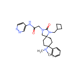 CN(C)[C@]1(c2ccccc2)CC[C@@]2(CC1)CN(CC(=O)Nc1ccnnc1)C(=O)N2CC1CCC1